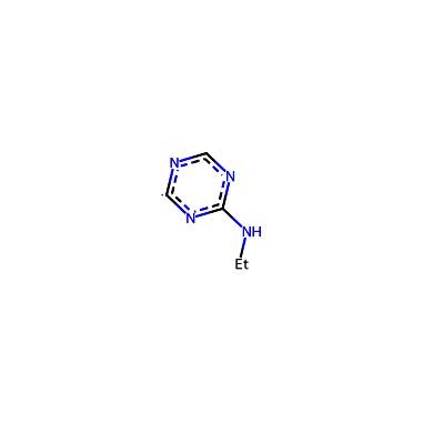 CCNc1n[c]ncn1